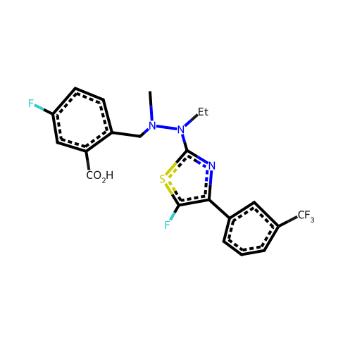 CCN(c1nc(-c2cccc(C(F)(F)F)c2)c(F)s1)N(C)Cc1ccc(F)cc1C(=O)O